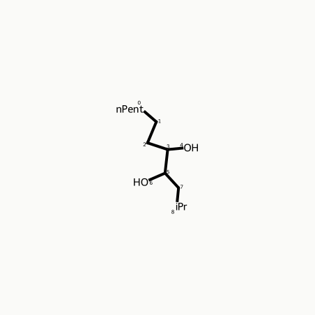 CCCCCCCC(O)C(O)CC(C)C